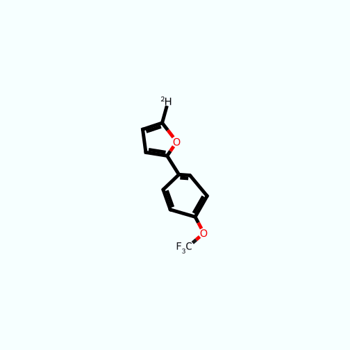 [2H]c1ccc(-c2ccc(OC(F)(F)F)cc2)o1